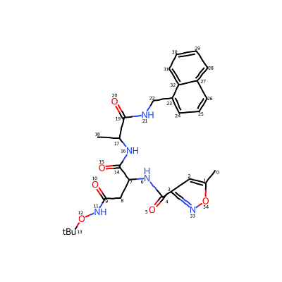 Cc1cc(C(=O)NC(CC(=O)NOC(C)(C)C)C(=O)NC(C)C(=O)NCc2cccc3ccccc23)no1